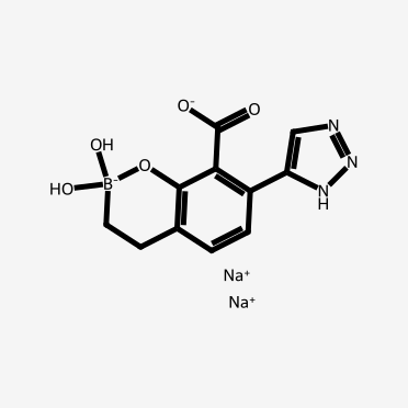 O=C([O-])c1c(-c2cnn[nH]2)ccc2c1O[B-](O)(O)CC2.[Na+].[Na+]